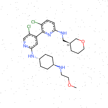 COCCN[C@H]1CC[C@H](Nc2cc(-c3nc(NC[C@@H]4CCCOC4)ccc3Cl)c(Cl)cn2)CC1